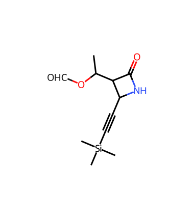 CC(OC=O)C1C(=O)NC1C#C[Si](C)(C)C